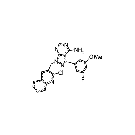 COc1cc(F)cc(-c2nn(Cc3cc4ccccc4nc3Cl)c3ncnc(N)c23)c1